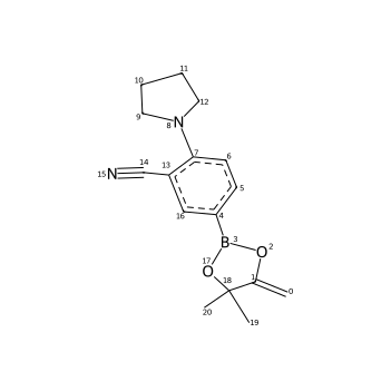 C=C1OB(c2ccc(N3CCCC3)c(C#N)c2)OC1(C)C